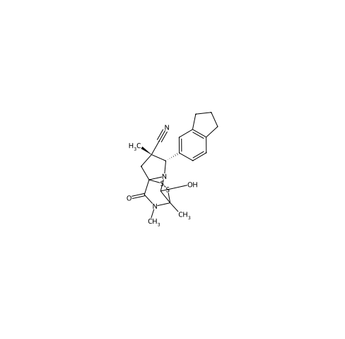 CN1C(=O)C23C[C@](C)(C#N)[C@H](c4ccc5c(c4)CCC5)N2C(O)C1(C)SS3